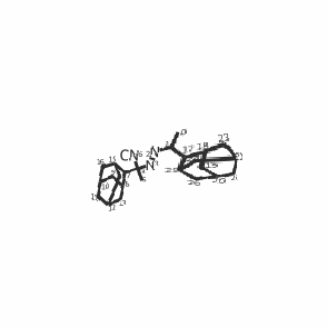 CC(N=NC(C)(C#N)C1C2CC3CC(C2)CC1C3)C1C2CC3CC(C2)CC1C3